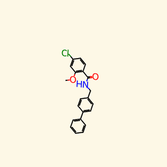 COc1cc(Cl)ccc1C(=O)NCc1ccc(-c2ccccc2)cc1